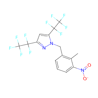 Cc1c(Cn2nc(C(F)(F)C(F)(F)F)cc2C(F)(F)C(F)(F)F)cccc1[N+](=O)[O-]